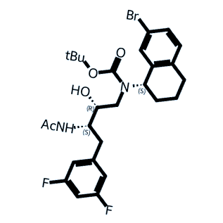 CC(=O)N[C@@H](Cc1cc(F)cc(F)c1)[C@H](O)CN(C(=O)OC(C)(C)C)[C@H]1CCCc2ccc(Br)cc21